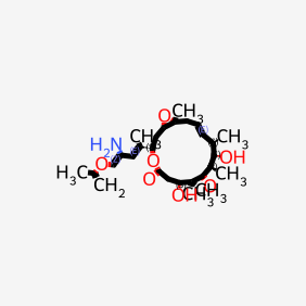 C=C(C)O/C=C(N)/C=C(\C)[C@@H]1CC2OC2(C)C/C=C/[C@H](C)[C@H](O)[C@@H](C)C(=O)C(C)(C)[C@@H](O)CC(=O)O1